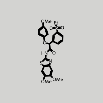 CCS(=O)(=O)c1cccc(C(Oc2ccc(OC)cc2)C(=O)Nc2nc3cc(OC)c(OC)cc3s2)c1